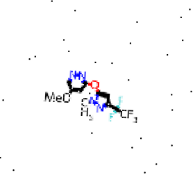 COc1cnnc(Oc2cc(C(F)(F)C(F)(F)F)nn2C)c1